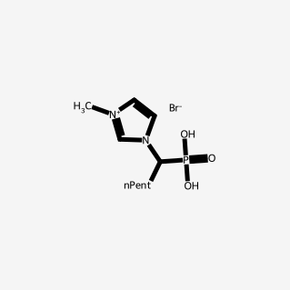 CCCCCC(n1cc[n+](C)c1)P(=O)(O)O.[Br-]